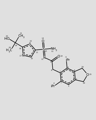 CC(C)c1cc2c(c(C(C)C)c1CC(=O)N=S(N)(=O)c1cnc(C(C)(C)O)s1)COC2